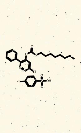 CCCCCCCCSC(=O)Oc1cc(Cl)nnc1-c1ccccc1.Cc1ccc(S(=O)(=O)O)cc1